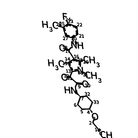 C#CCO[C@H]1CC[C@@H](NC(=O)C(=O)c2c(C)c(C(=O)Nc3ccc(F)c(C)c3)c(C)n2C)CC1